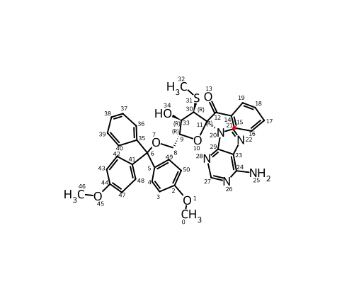 COc1ccc(C(OC[C@H]2O[C@@](C(=O)c3ccccc3)(n3cnc4c(N)ncnc43)[C@H](SC)[C@@H]2O)(c2ccccc2)c2ccc(OC)cc2)cc1